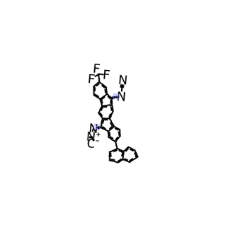 [C-]#[N+]/N=c1\c2cc(-c3cccc4ccccc34)ccc2c2cc3/c(=N/C#N)c4cc(C(F)(F)F)ccc4c3cc12